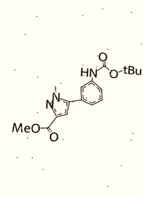 COC(=O)c1cc(-c2cccc(NC(=O)OC(C)(C)C)c2)n(C)n1